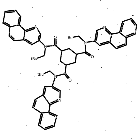 CC(C)(C)CN(C(=O)C1CC(C(=O)N(CC(C)(C)C)c2cnc3c(ccc4ccccc43)c2)CC(C(=O)N(CC(C)(C)C)c2cnc3c(ccc4ccccc43)c2)C1)c1cnc2c(ccc3ccccc32)c1